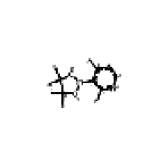 Cc1ccnc(C)c1B1OC(C)(C)C(C)(C)O1